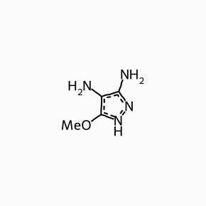 COc1[nH]nc(N)c1N